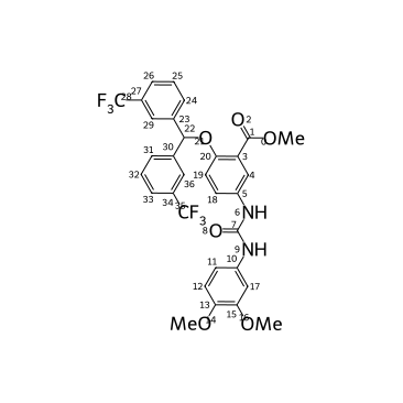 COC(=O)c1cc(NC(=O)Nc2ccc(OC)c(OC)c2)ccc1OC(c1cccc(C(F)(F)F)c1)c1cccc(C(F)(F)F)c1